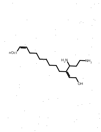 CCCCCCCC/C=C\CCCCCCCC(=CCO)C(N)CCN